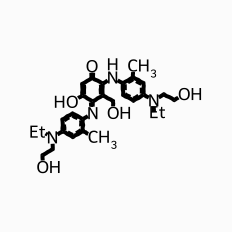 CCN(CCO)c1ccc(/N=C2\C(O)=CC(=O)C(Nc3ccc(N(CC)CCO)cc3C)=C2CO)c(C)c1